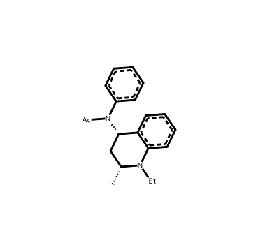 CCN1c2ccccc2[C@@H](N(C(C)=O)c2ccccc2)C[C@H]1C